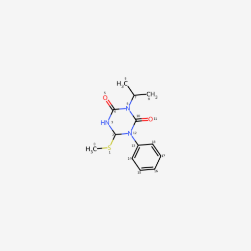 CSC1NC(=O)N(C(C)C)C(=O)N1c1ccccc1